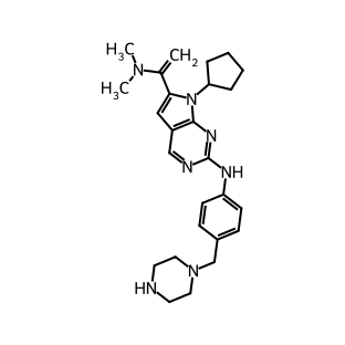 C=C(c1cc2cnc(Nc3ccc(CN4CCNCC4)cc3)nc2n1C1CCCC1)N(C)C